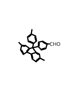 Cc1ccc(C2(c3ccc(C=O)cc3)c3cc(C)ccc3-c3ccc(C)cc32)cc1